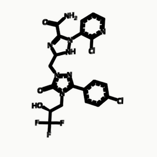 NC(=O)C1=NC(Cn2nc(-c3ccc(Cl)cc3)n(C[C@H](O)C(F)(F)F)c2=O)NN1c1cccnc1Cl